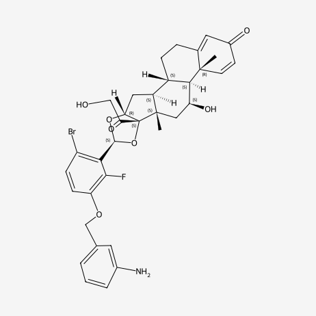 C[C@]12C=CC(=O)C=C1CC[C@@H]1[C@@H]2[C@@H](O)C[C@@]2(C)[C@H]1C[C@H]1O[C@H](c3c(Br)ccc(OCc4cccc(N)c4)c3F)O[C@]12C(=O)CO